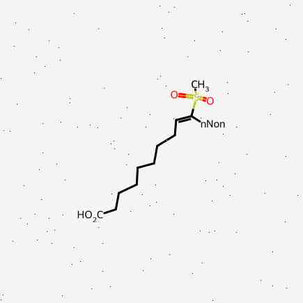 CCCCCCCCC/C(=C\CCCCCCCC(=O)O)S(C)(=O)=O